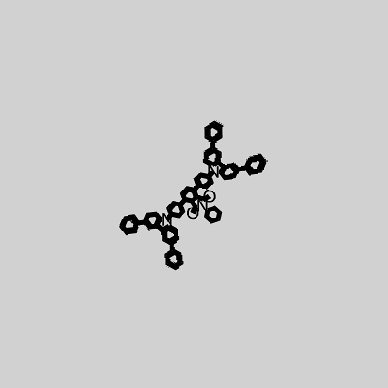 O=C1c2c(-c3ccc(-n4c5ccc(-c6ccccc6)cc5c5cc(-c6ccccc6)ccc54)cc3)ccc(-c3ccc(-n4c5ccc(-c6ccccc6)cc5c5cc(-c6ccccc6)ccc54)cc3)c2C(=O)N1C1CCCCC1